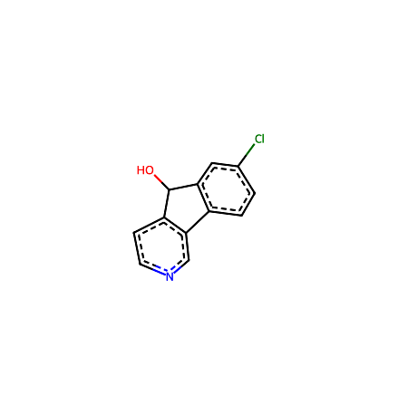 OC1c2ccncc2-c2ccc(Cl)cc21